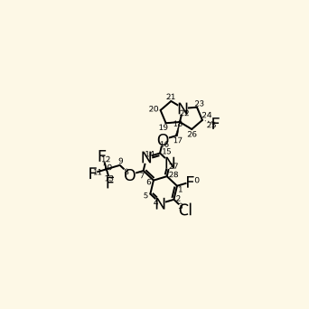 Fc1c(Cl)ncc2c(OCC(F)(F)F)nc(OC[C@@]34CCCN3C[C@H](F)C4)nc12